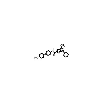 Cc1nn(C2CCCCC2)c2sc(C(=O)NC3CCN([C@H]4CC[C@H](O)CC4)CC3)cc12